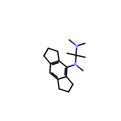 CN(C)C(C)(C)N(C)c1c2c(cc3c1CCC3)CCC2